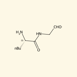 CCCC[C@H](N)C(=O)NC[C]=O